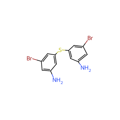 Nc1cc(Br)cc(Sc2cc(N)cc(Br)c2)c1